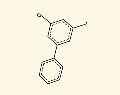 Clc1cc(I)cc(-c2ccccc2)c1